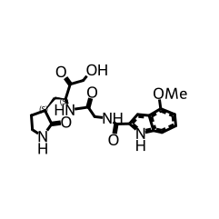 COc1cccc2[nH]c(C(=O)NCC(=O)N[C@@H](C[C@@H]3CCNC3=O)C(=O)CO)cc12